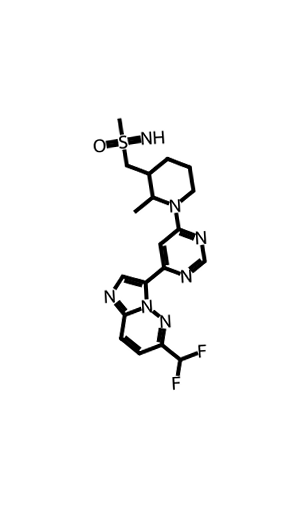 CC1C(CS(C)(=N)=O)CCCN1c1cc(-c2cnc3ccc(C(F)F)nn23)ncn1